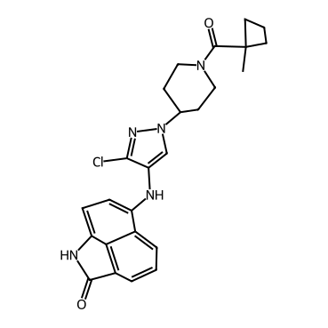 CC1(C(=O)N2CCC(n3cc(Nc4ccc5c6c(cccc46)C(=O)N5)c(Cl)n3)CC2)CCC1